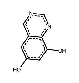 Oc1cc(O)c2ncncc2c1